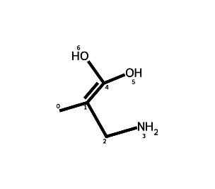 CC(CN)=C(O)O